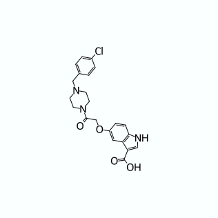 O=C(O)c1c[nH]c2ccc(OCC(=O)N3CCN(Cc4ccc(Cl)cc4)CC3)cc12